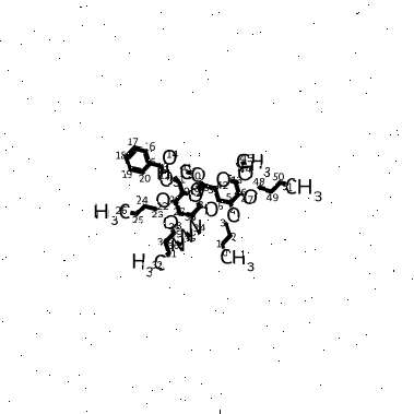 CCCCOC1[C@H](O[C@H]2OC(COC(=O)c3ccccc3)[C@@H](OCCCC)[C@H](OCCCC)C2N=[N+]=[N-])C(C(=O)OC)O[C@@H](OC)[C@H]1OCCCC